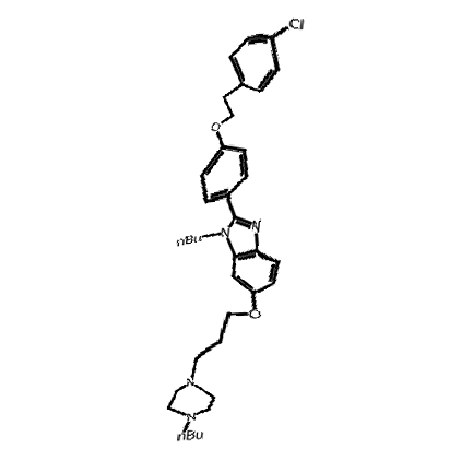 CCCCN1CCN(CCCOc2ccc3nc(-c4ccc(OCCc5ccc(Cl)cc5)cc4)n(CCCC)c3c2)CC1